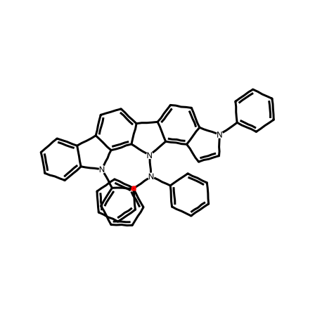 c1ccc(N(c2ccccc2)n2c3c(ccc4c3ccn4-c3ccccc3)c3ccc4c5ccccc5n(-c5ccccc5)c4c32)cc1